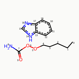 CCCCCOOC(N)=O.c1ccc2[nH]cnc2c1